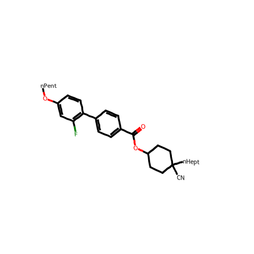 CCCCCCCC1(C#N)CCC(OC(=O)c2ccc(-c3ccc(OCCCCC)cc3F)cc2)CC1